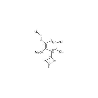 COc1c(CCCl)cc(Cl)c(Cl)c1C1CNC1